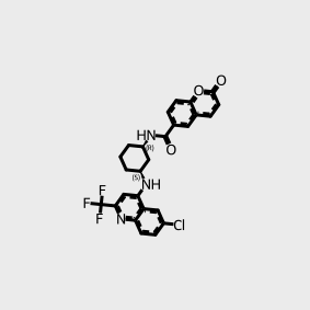 O=C(N[C@@H]1CCC[C@H](Nc2cc(C(F)(F)F)nc3ccc(Cl)cc23)C1)c1ccc2oc(=O)ccc2c1